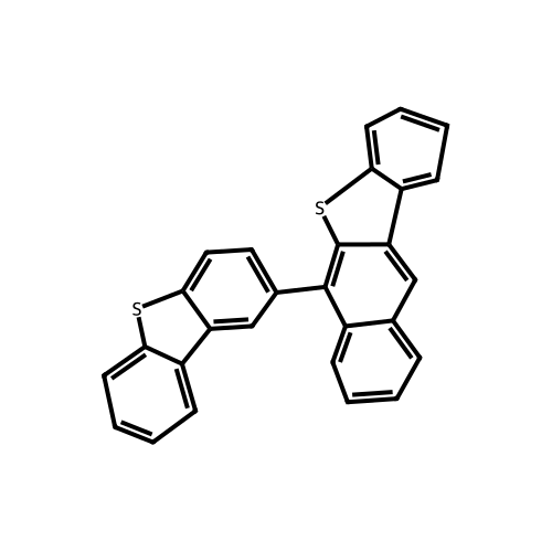 c1ccc2c(-c3ccc4sc5ccccc5c4c3)c3sc4ccccc4c3cc2c1